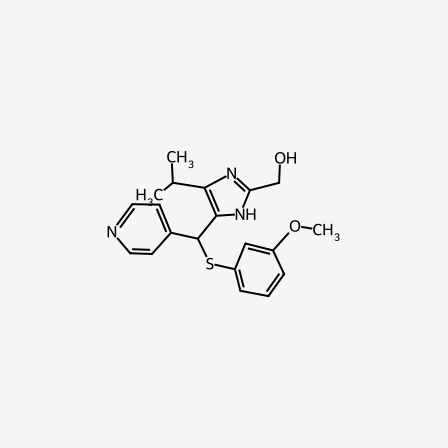 COc1cccc(SC(c2ccncc2)c2[nH]c(CO)nc2C(C)C)c1